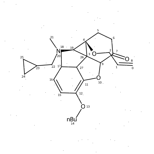 C=CCO[C@]12CCC(=O)C3OC4=C(OCCCC)C=CC5C[C@@]1(N(C)CC1CC1)C32C45